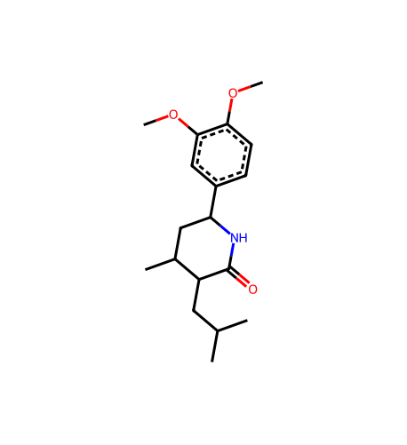 COc1ccc(C2CC(C)C(CC(C)C)C(=O)N2)cc1OC